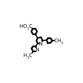 Cc1ccc(-c2cc(-c3ccc(C(=O)O)cc3)cc(-c3ccc(C)cn3)n2)cc1